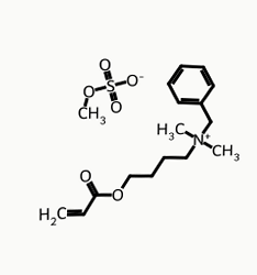 C=CC(=O)OCCCC[N+](C)(C)Cc1ccccc1.COS(=O)(=O)[O-]